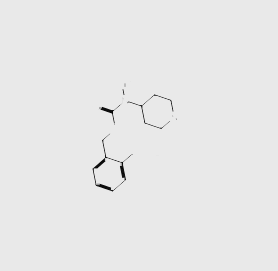 CCCN(C(=O)OCc1ccccc1F)C1CCNCC1.Cl